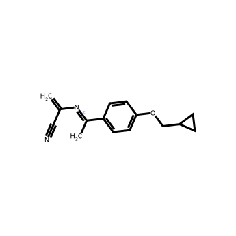 C=C(C#N)/N=C(\C)c1ccc(OCC2CC2)cc1